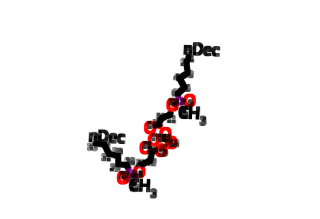 CCCCCCCCCCCCCCCCP(C)(=O)OCCC(=O)OS(=O)(=O)OC(=O)CCOP(C)(=O)CCCCCCCCCCCCCCCC